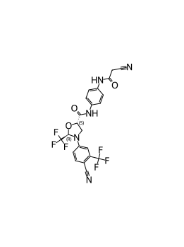 N#CCC(=O)Nc1ccc(NC(=O)[C@@H]2CN(c3ccc(C#N)c(C(F)(F)F)c3)[C@@H](C(F)(F)F)O2)cc1